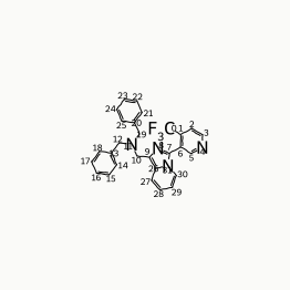 FC(F)(F)c1ccncc1-c1nc(CN(Cc2ccccc2)Cc2ccccc2)c2ccccn12